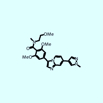 COCCN(C)C(=O)c1c(OC)cc(-c2cnc3cc(-c4cnn(C)c4)ccn23)cc1OC